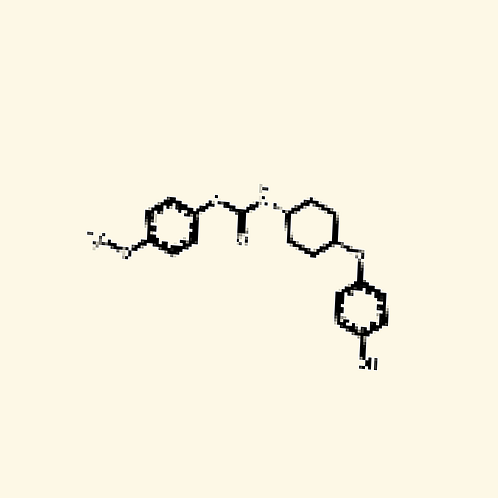 O=C(Nc1ccc(OC(F)(F)F)cc1)N[C@H]1CC[C@H](Oc2ccc(O)cc2)CC1